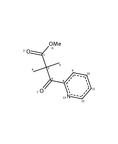 COC(=O)C(C)(C)C(=O)c1ccccn1